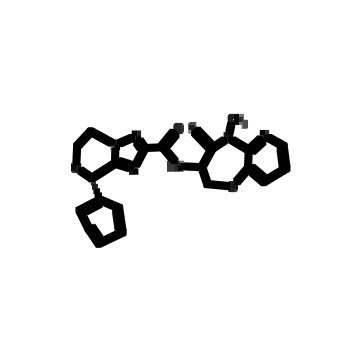 CN1C(=S)C(NC(=O)c2nc3n(n2)CCO[C@H]3c2ccccc2)COc2cccnc21